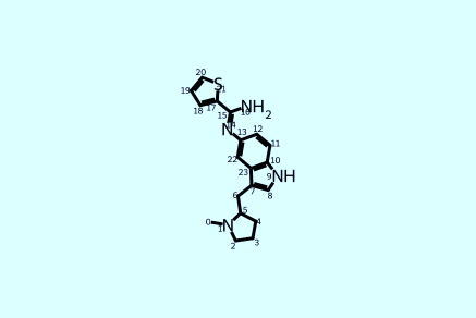 CN1CCCC1Cc1c[nH]c2ccc(N=C(N)c3cccs3)cc12